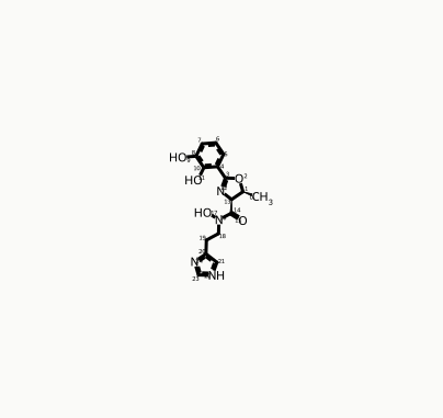 C[C@@H]1OC(c2cccc(O)c2O)=N[C@@H]1C(=O)N(O)CCc1c[nH]cn1